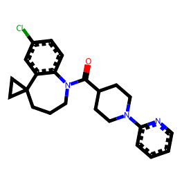 O=C(C1CCN(c2ccccn2)CC1)N1CCCC2(CC2)c2cc(Cl)ccc21